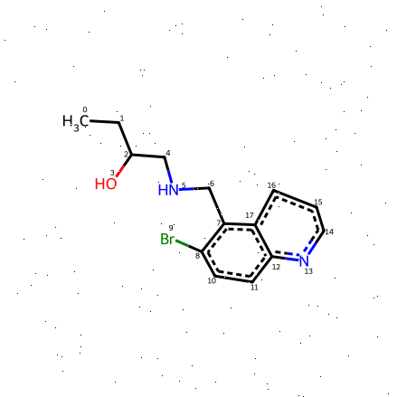 CCC(O)CNCc1c(Br)ccc2ncccc12